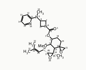 COC1C(OC(=O)N2CC(N(C)c3ccccn3)C2)CCC2(CO2)C1[C@@]1(C)O[C@@H]1CC=C(C)C